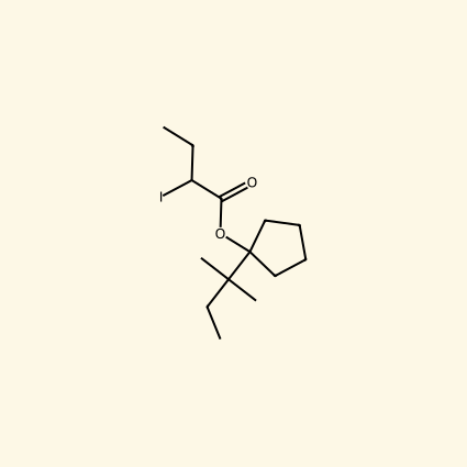 CCC(I)C(=O)OC1(C(C)(C)CC)CCCC1